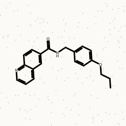 CCCOc1ccc(CNC(=O)c2ccc3ncccc3c2)cc1